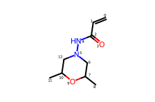 C=CC(=O)NN1CC(C)OC(C)C1